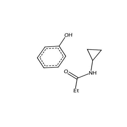 CCC(=O)NC1CC1.Oc1ccccc1